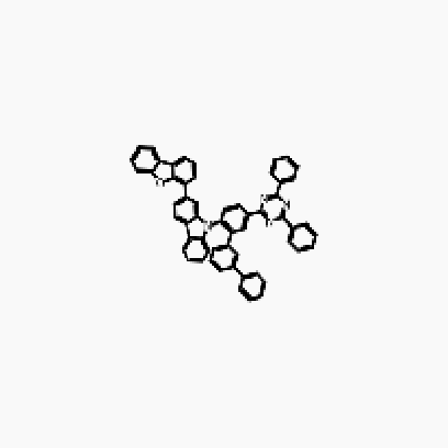 c1ccc(-c2cccc(-c3cc(-c4nc(-c5ccccc5)nc(-c5ccccc5)n4)ccc3-n3c4ccccc4c4ccc(-c5cccc6c5oc5ccccc56)cc43)c2)cc1